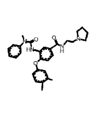 Cc1ccc(Oc2ccc(C(=O)NCCN3CCCC3)cc2NC(=O)N(C)c2ccccc2)cc1C